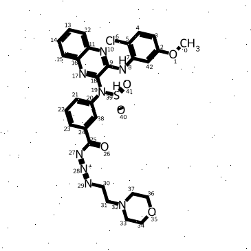 COc1ccc(Cl)c(Nc2nc3ccccc3nc2N(c2cccc(C(=O)N=[N+]=NCCN3CCOCC3)c2)[SH](=O)=O)c1